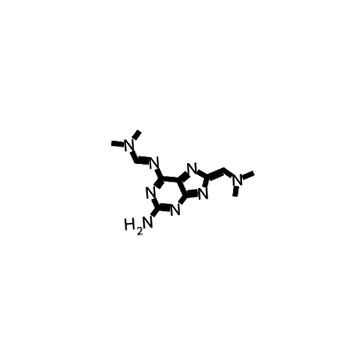 CN(C)C=Nc1nc(N)nc2c1=NC(=CN(C)C)N=2